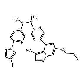 CC(c1ccc(-n2cc(F)cn2)nc1)N(C)c1ccc(-c2cc(OCCF)cn3ncc(C#N)c23)cn1